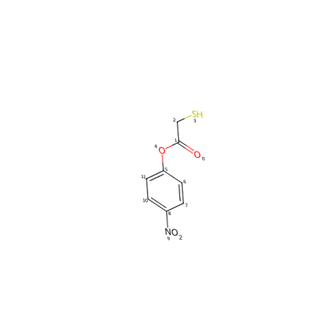 O=C(CS)Oc1ccc([N+](=O)[O-])cc1